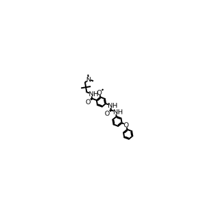 COc1cc(NC(=O)Nc2cccc(Oc3ccccc3)c2)ccc1C(=O)NCC(C)(C)CN(C)C